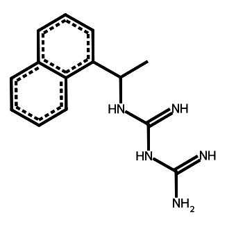 CC(NC(=N)NC(=N)N)c1cccc2ccccc12